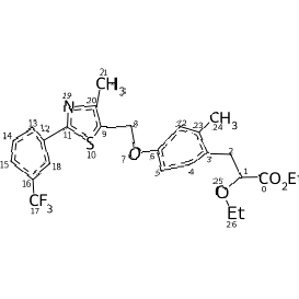 CCOC(=O)C(Cc1ccc(OCc2sc(-c3cccc(C(F)(F)F)c3)nc2C)cc1C)OCC